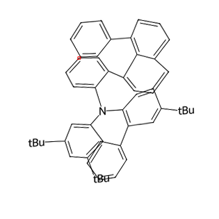 CC(C)(C)c1cc(N(c2ccc(C(C)(C)C)cc2-c2ccccc2)c2ccccc2-c2cccc3cccc(-c4ccccc4)c23)cc(C(C)(C)C)c1